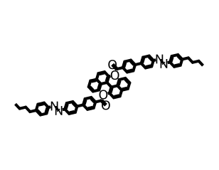 CCCCc1ccc(N=Nc2ccc(-c3ccc(C(=O)Oc4ccc5ccccc5c4-c4c(OC(=O)c5ccc(-c6ccc(N=Nc7ccc(CCCC)cc7)cc6)cc5)ccc5ccccc45)cc3)cc2)cc1